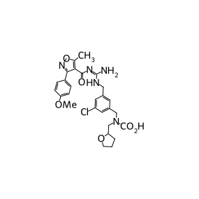 COc1ccc(-c2noc(C)c2C(=O)N=C(N)NCc2cc(Cl)cc(CN(CC3CCCO3)C(=O)O)c2)cc1